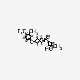 Cc1cc(OC2CC3(C2)CN(C(=O)[C@H]2C[C@@](C)(O)C2)C3)ccc1C(F)(F)F